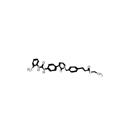 CCOC(=O)CCc1ccc(Cn2cccc(-c3ccc(NC(=O)Nc4ccccc4C)cc3)c2=O)cc1